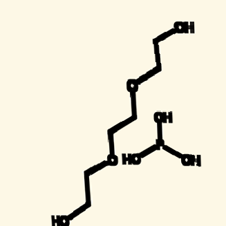 OCCOCCOCCO.OP(O)O